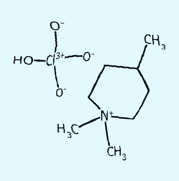 CC1CC[N+](C)(C)CC1.[O-][Cl+3]([O-])([O-])O